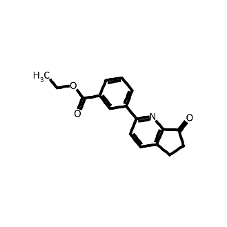 CCOC(=O)c1cccc(-c2ccc3c(n2)C(=O)CC3)c1